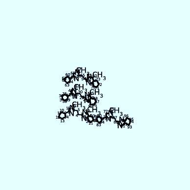 Cc1nc(CCc2nc(-c3ccccc3)cn2C)nc2ccccc12.Cc1nc(CCc2nc(-c3ccccc3)cn2C)nc2ccccc12.Cc1nc(CCc2nc(-c3ccccc3)cn2C)nc2ccccc12.Cn1cc(-c2ccccc2)nc1CCc1ncc2ccccc2n1